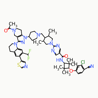 CC(=O)N1CCc2c(c(N3CCCc4cc(-c5cncs5)c(C(F)F)cc43)nn2C2CCN(CC3C(C)CN(c4ncc(C(=O)NC5C(C)(C)C(Oc6ccc(C#N)c(Cl)c6)C5(C)C)cn4)CC3C)CC2)C1